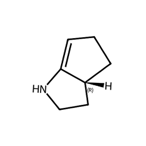 C1=C2NCC[C@H]2CC1